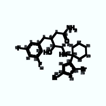 NC(=O)CC(Cc1cc(F)cc(F)c1)C(O)CNC1(c2cc(Br)sc2Br)CCCCC1